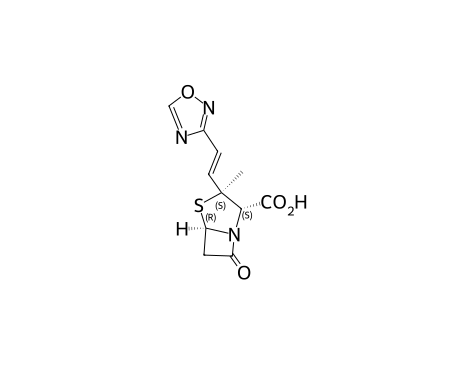 C[C@@]1(C=Cc2ncon2)S[C@@H]2CC(=O)N2[C@H]1C(=O)O